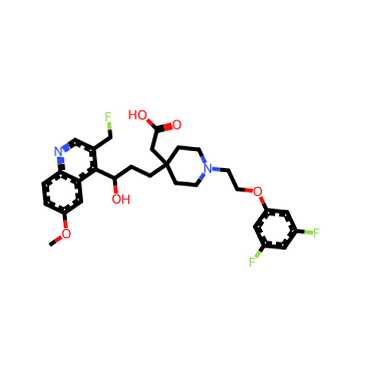 COc1ccc2ncc(CF)c(C(O)CCC3(CC(=O)O)CCN(CCOc4cc(F)cc(F)c4)CC3)c2c1